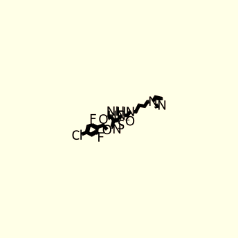 NC(=O)c1c(OCc2c(F)cc(Cl)cc2F)nsc1NC(=O)NCCCCn1ccnc1